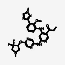 CCC(=O)c1cnc(Nc2cnc(O[C@H]3CN(C)CC3(F)F)cn2)cc1Nc1cccc(-c2ncn(C)n2)c1OC